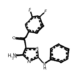 Nc1nc(Nc2ccccc2)sc1C(=O)c1ccc(F)c(F)c1